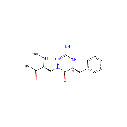 CC(C)(C)N[C@@H](CNC(=O)[C@H](Cc1ccccc1)NC(=N)N)C(=O)C(C)(C)C